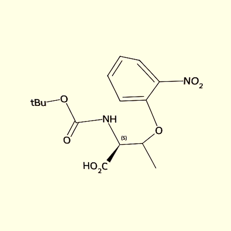 CC(Oc1ccccc1[N+](=O)[O-])[C@H](NC(=O)OC(C)(C)C)C(=O)O